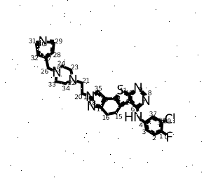 Fc1ccc(Nc2ncnc3sc4c(c23)CCc2nn(CCN3CCN(Cc5ccncc5)CC3)cc2-4)cc1Cl